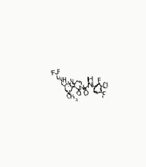 CN1Cc2c3c(nn2CC(CNCC(F)F)C1)CCN(C(=O)Nc1ccc(F)c(Cl)c1F)C3=O